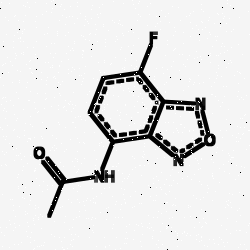 CC(=O)Nc1ccc(F)c2nonc12